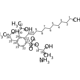 CCCCCCCCCCCCc1c(S(=O)(=O)OCC(C)O)ccc(CC(C)O)c1CC(C)O.N